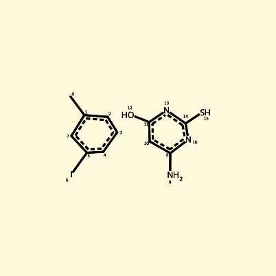 Cc1cccc(I)c1.Nc1cc(O)nc(S)n1